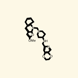 COC1=CC2=CC3=C(CC=CC3)N(CN3CCC(NCc4cc5c(cn4)OCCO5)CC3)C2O1